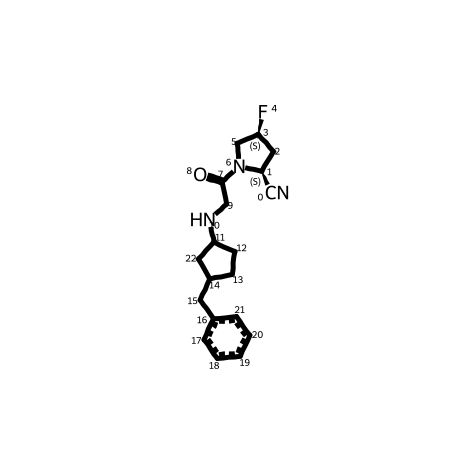 N#C[C@@H]1C[C@H](F)CN1C(=O)CNC1CCC(Cc2ccccc2)C1